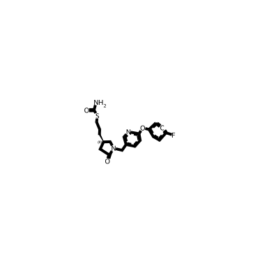 NC(=O)SCCC[C@@H]1CC(=O)N(Cc2ccc(Oc3ccc(F)cc3)nc2)C1